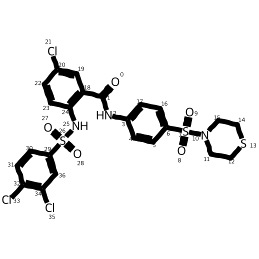 O=C(Nc1ccc(S(=O)(=O)N2CCSCC2)cc1)c1cc(Cl)ccc1NS(=O)(=O)c1ccc(Cl)c(Cl)c1